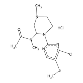 CSc1cnc(N2CCN(C)CC2N(C)C(C)=O)nc1Cl.Cl